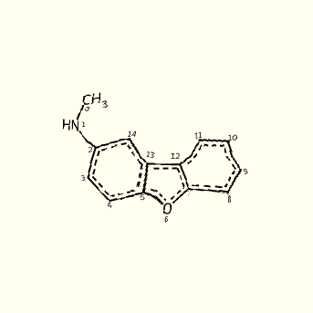 CNc1ccc2oc3ccccc3c2c1